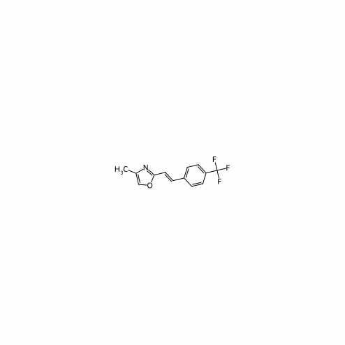 Cc1coc(C=Cc2ccc(C(F)(F)F)cc2)n1